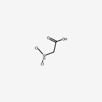 O=C(O)C[SiH](Cl)Cl